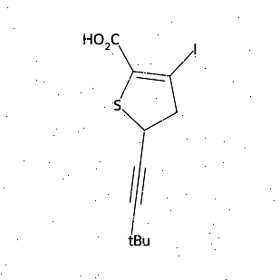 CC(C)(C)C#CC1CC(I)=C(C(=O)O)S1